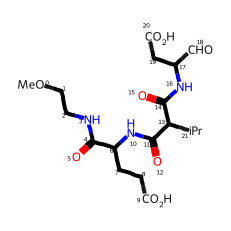 COCCNC(=O)C(CCC(=O)O)NC(=O)C(C(=O)NC(C=O)CC(=O)O)C(C)C